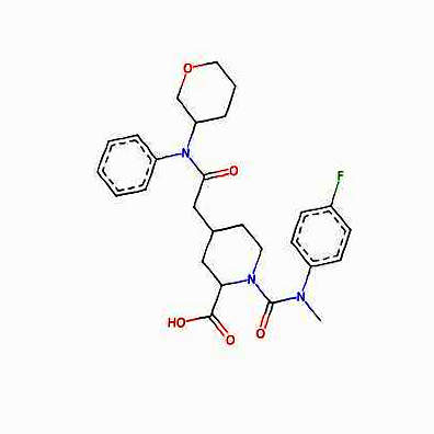 CN(C(=O)N1CCC(CC(=O)N(c2ccccc2)C2CCCOC2)CC1C(=O)O)c1ccc(F)cc1